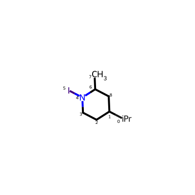 CC(C)C1CCN(I)C(C)C1